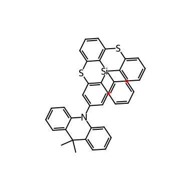 CC1(C)c2ccccc2N(c2ccc3c(c2)Sc2cccc4c2[Si]3(c2ccccc2)c2ccccc2S4)c2ccccc21